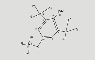 CC(C)(C)c1cc(C[N+](C)(C)C)cc(C(C)(C)C)c1O